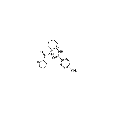 Cc1ccc(C(=O)N[C@@H]2CCCC[C@H]2NC(=O)C2CCCN2)cc1